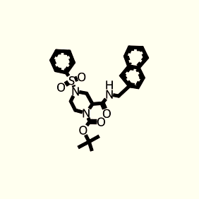 CC(C)(C)OC(=O)N1CCN(S(=O)(=O)c2ccccc2)CC1C(=O)NCc1ccc2ccccc2c1